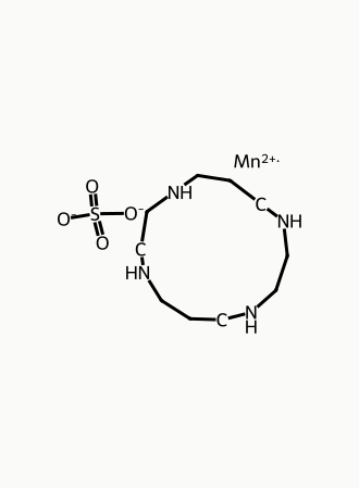 C1CNCCNCCCNCCNC1.O=S(=O)([O-])[O-].[Mn+2]